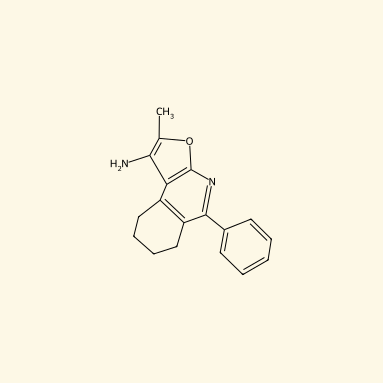 Cc1oc2nc(-c3ccccc3)c3c(c2c1N)CCCC3